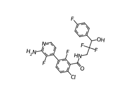 Nc1nccc(-c2ccc(Cl)c(C(=O)NCC(F)(F)C(O)c3ccc(F)cc3)c2F)c1F